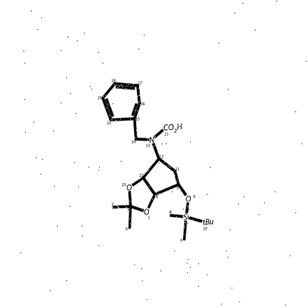 CC1(C)OC2C(O[Si](C)(C)C(C)(C)C)CC(N(Cc3ccccc3)C(=O)O)C2O1